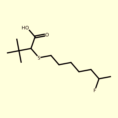 CC(F)CCCCCSC(C(=O)O)C(C)(C)C